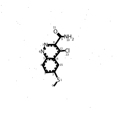 CSc1ccc2nnc(C(N)=O)c(Cl)c2c1